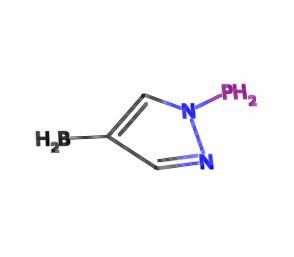 Bc1cnn(P)c1